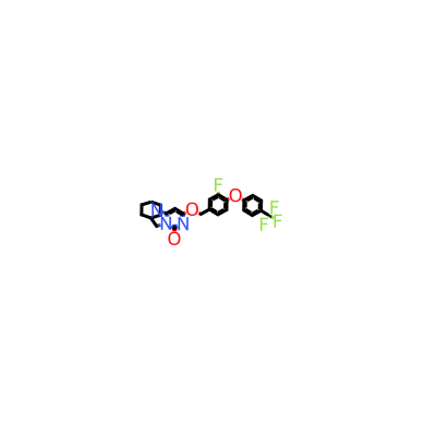 O=c1nc(OCc2ccc(Oc3ccc(C(F)(F)F)cc3)c(F)c2)cc2n1CC13CCC(CC1)N23